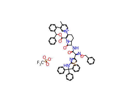 Cc1cc[n+](C2=C(C(=O)OC(c3ccccc3)c3ccccc3)N3C(=O)[C@@H](NC(=O)C(=NOCc4ccccc4)c4csc(NC(c5ccccc5)(c5ccccc5)c5ccccc5)n4)C3CC2)cc1C.O=S(=O)([O-])C(F)(F)F